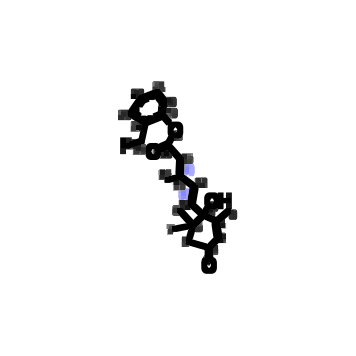 CC1=CC(=O)CC(C)(C)C1(O)/C=C/C(C)=C/C(=O)Oc1ccccc1CF